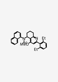 CCc1cccc(CC)c1-c1cc(OC)c2c(n1)CCCC2N(C(C)=O)c1cccc2ccccc12